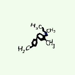 C=Cc1ccc(C2=CC(C)=C(/C=C(/C)CCC)CC2)cc1